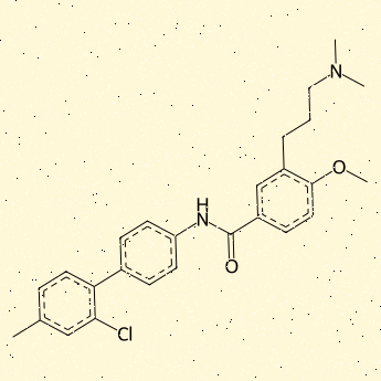 COc1ccc(C(=O)Nc2ccc(-c3ccc(C)cc3Cl)cc2)cc1CCCN(C)C